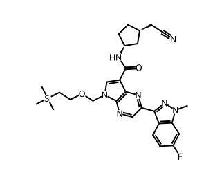 Cn1nc(-c2cnc3c(n2)c(C(=O)N[C@H]2CC[C@@H](CC#N)C2)cn3COCC[Si](C)(C)C)c2ccc(F)cc21